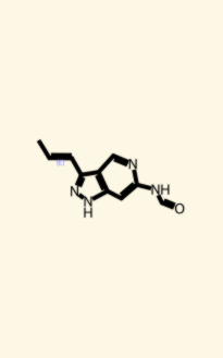 C/C=C/c1n[nH]c2cc(NC=O)ncc12